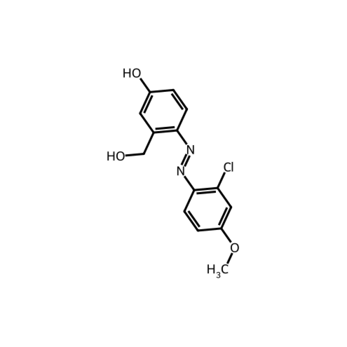 COc1ccc(N=Nc2ccc(O)cc2CO)c(Cl)c1